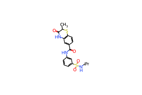 CC(C)NS(=O)(=O)c1cccc(NC(=O)c2ccc3c(c2)NC(=O)C(C)S3)c1